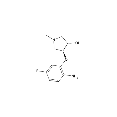 CN1C[C@H](Oc2cc(F)ccc2N)[C@@H](O)C1